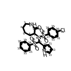 O=C1NCCCCC1N(C(c1ccc[nH]1)S(=O)(=O)c1ccccc1)S(=O)(=O)c1ccc(Cl)cc1